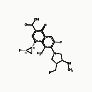 CNC1CN(c2c(F)cc3c(=O)c(C(=O)O)cn([C@@H]4C[C@@H]4F)c3c2C)CC1CF